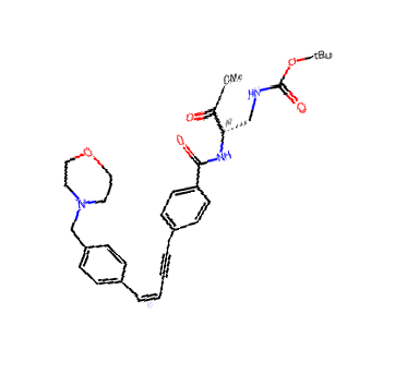 COC(=O)[C@H](CNC(=O)OC(C)(C)C)NC(=O)c1ccc(C#C/C=C\c2ccc(CN3CCOCC3)cc2)cc1